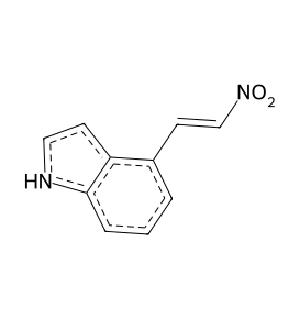 O=[N+]([O-])/C=C/c1cccc2[nH]ccc12